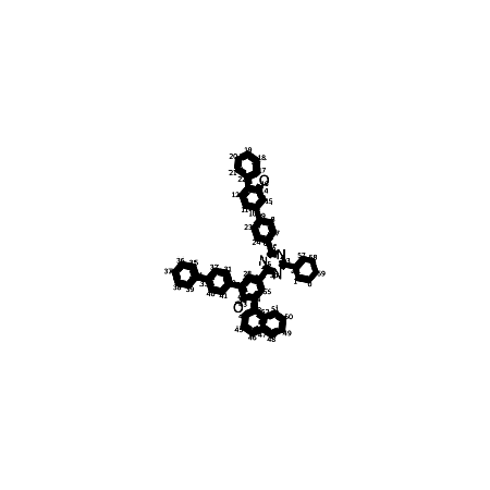 C1=CC(c2nc(-c3ccc(-c4ccc5c(c4)oc4ccccc45)cc3)nc(-c3cc(-c4ccc(-c5ccccc5)cc4)c4oc5ccc6ccccc6c5c4c3)n2)=CCC1